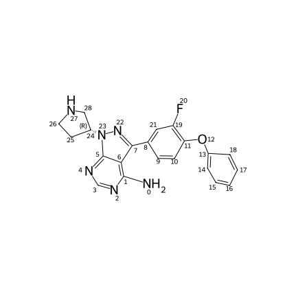 Nc1ncnc2c1c(-c1ccc(Oc3ccccc3)c(F)c1)nn2[C@@H]1CCNC1